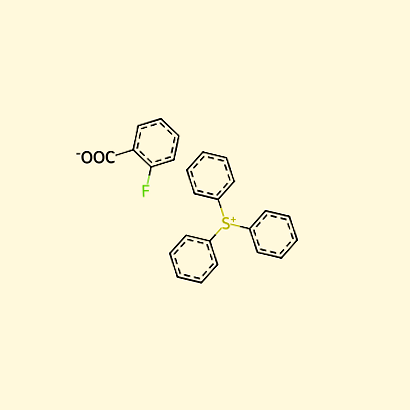 O=C([O-])c1ccccc1F.c1ccc([S+](c2ccccc2)c2ccccc2)cc1